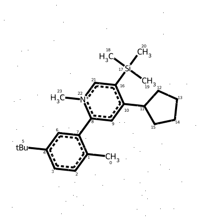 Cc1ccc(C(C)(C)C)cc1-c1cc(C2CCCC2)c([Si](C)(C)C)c[n+]1C